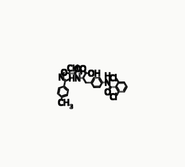 Cc1ccc(C2=NOC(C)(C(=O)NC(Cc3ccc(NC(=O)c4c(Cl)cccc4Cl)cc3)C(=O)O)C2)cc1